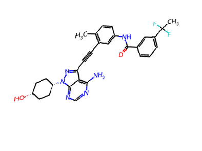 Cc1ccc(NC(=O)c2cccc(C(C)(F)F)c2)cc1C#Cc1nn([C@H]2CC[C@@H](O)CC2)c2ncnc(N)c12